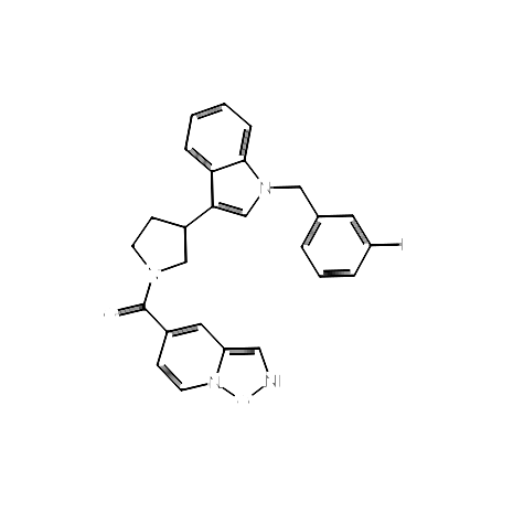 O=C(C1=CC2=CNON2C=C1)N1CCC(c2cn(Cc3cccc(F)c3)c3ccccc23)C1